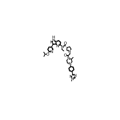 CCN(C(=O)[C@@H]1CCN(CC(=O)N2CCN(c3ccc(-c4ncn(C)n4)cc3)CC2C)C1)c1ccc2[nH]nc(-c3ccc(OC(C)C)nc3)c2n1